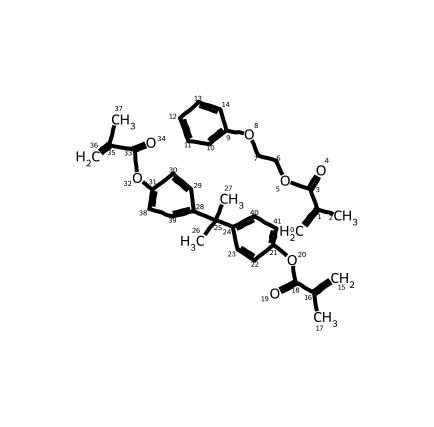 C=C(C)C(=O)OCCOc1ccccc1.C=C(C)C(=O)Oc1ccc(C(C)(C)c2ccc(OC(=O)C(=C)C)cc2)cc1